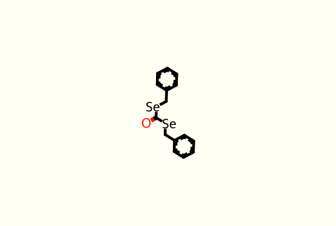 O=C([Se]Cc1ccccc1)[Se]Cc1ccccc1